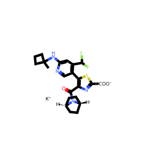 CC1(Nc2cc(C(F)F)c(-c3sc(C(=O)[O-])nc3C(=O)N3[C@H]4CC[C@H]3CC4)cn2)CCC1.[K+]